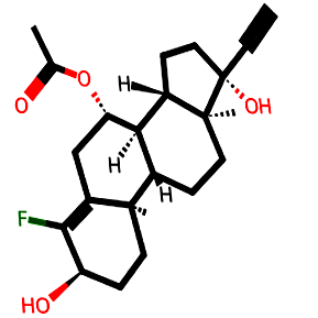 C#C[C@]1(O)CC[C@H]2[C@@H]3[C@@H](OC(C)=O)CC4=C(F)[C@H](O)CC[C@]4(C)[C@H]3CC[C@@]21C